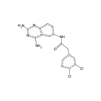 Nc1nc(N)c2cc(NC(=O)Cc3ccc(Cl)c(Cl)c3)ccc2n1